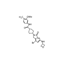 COc1cc(NC(=O)C2CCC(N3Cc4c(Br)cc(NC5COC5)cc4C3=O)CC2)ccc1C